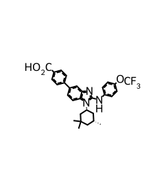 C[C@H]1C[C@@H](n2c(Nc3ccc(OC(F)(F)F)cc3)nc3cc(-c4ccc(C(=O)O)cc4)ccc32)CC(C)(C)C1